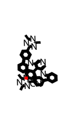 Cc1nc(C)nc(-c2ccc3c4ccccc4n(-c4cncc(-n5c6ccccc6c6ccc(-c7nc(C)nc(C)n7)cc65)c4-c4cccc(C#N)c4)c3c2)n1